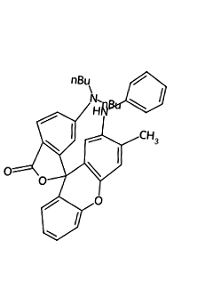 CCCCN(CCCC)c1ccc2c(c1)C1(OC2=O)c2ccccc2Oc2cc(C)c(Nc3ccccc3)cc21